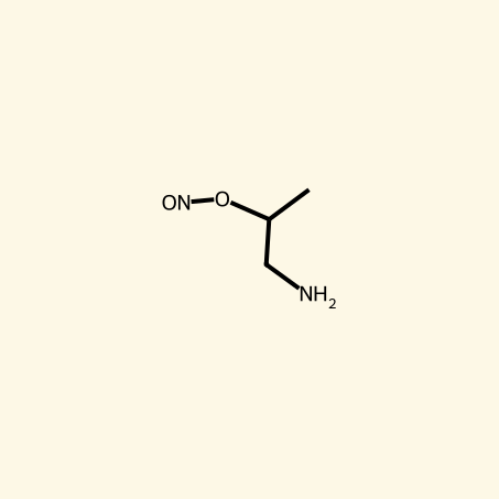 CC(CN)ON=O